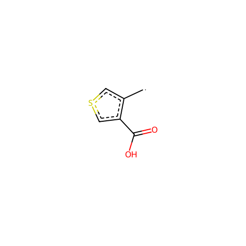 [CH2]c1cscc1C(=O)O